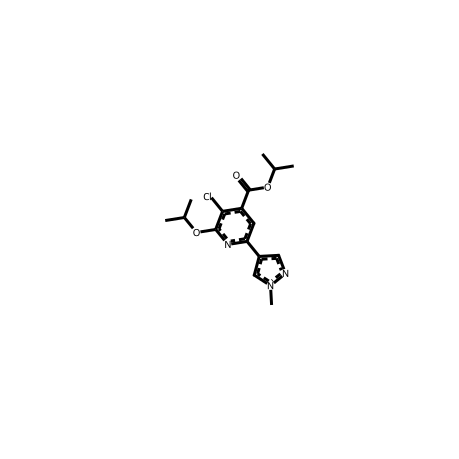 CC(C)OC(=O)c1cc(-c2cnn(C)c2)nc(OC(C)C)c1Cl